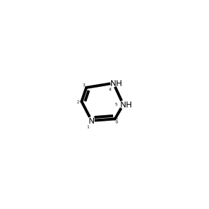 [C]1=NC=CNN1